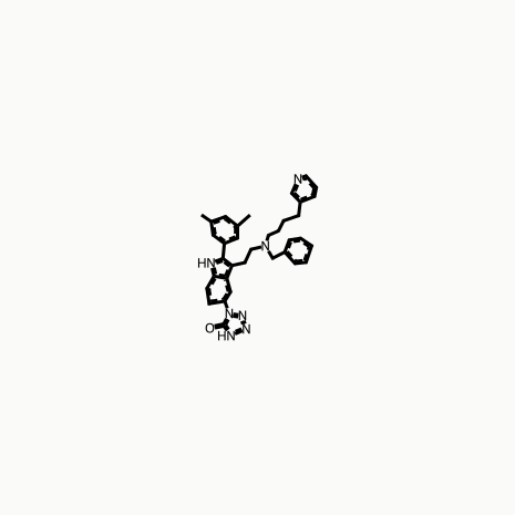 Cc1cc(C)cc(-c2[nH]c3ccc(-n4nn[nH]c4=O)cc3c2CCN(CCCCc2cccnc2)Cc2ccccc2)c1